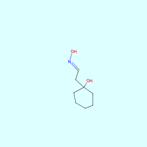 ON=CCC1(O)CCCCC1